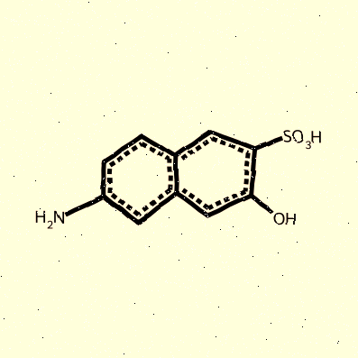 Nc1ccc2cc(S(=O)(=O)O)c(O)cc2c1